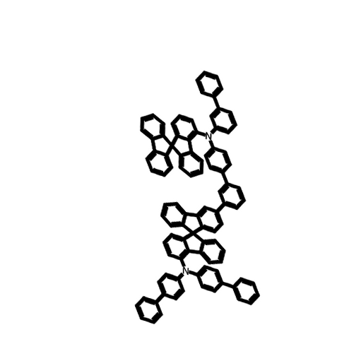 c1ccc(-c2ccc(N(c3ccc(-c4ccccc4)cc3)c3cccc4c3-c3ccccc3C43c4ccccc4-c4cc(-c5cccc(-c6ccc(N(c7cccc(-c8ccccc8)c7)c7cccc8c7-c7ccccc7C87c8ccccc8-c8ccccc87)cc6)c5)ccc43)cc2)cc1